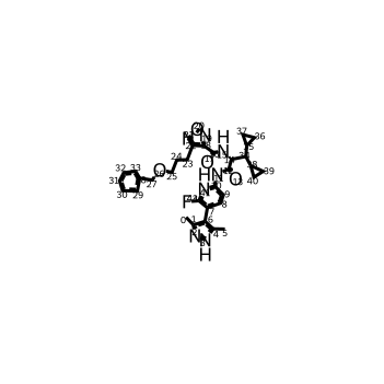 Cc1n[nH]c(C)c1-c1ccc(NC(=O)[C@@H](NC(=O)c2nonc2CCCOCc2ccccc2)C(C2CC2)C2CC2)nc1F